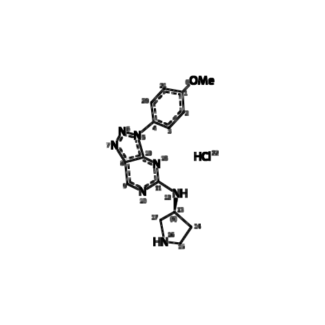 COc1ccc(-n2nnc3cnc(N[C@H]4CCNC4)nc32)cc1.Cl